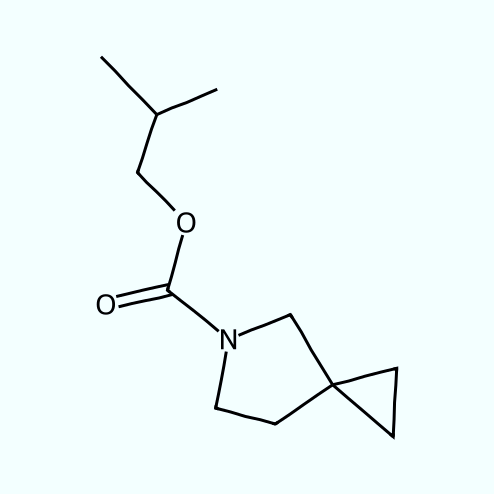 CC(C)COC(=O)N1CCC2(CC2)C1